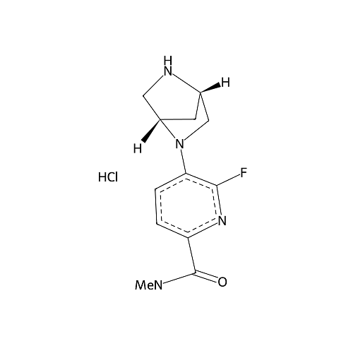 CNC(=O)c1ccc(N2C[C@@H]3C[C@H]2CN3)c(F)n1.Cl